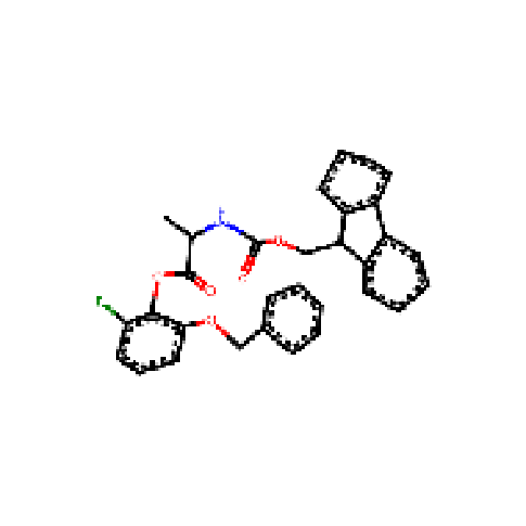 CC(NC(=O)OCC1c2ccccc2-c2ccccc21)C(=O)Oc1c(F)cccc1OCc1ccccc1